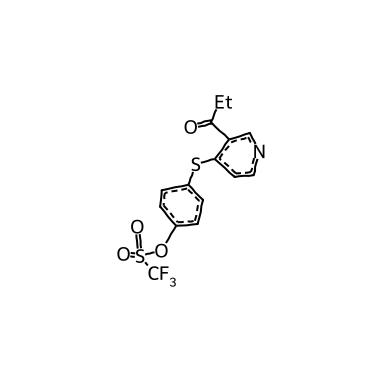 CCC(=O)c1cnccc1Sc1ccc(OS(=O)(=O)C(F)(F)F)cc1